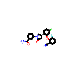 N#Cc1cccc(F)c1Oc1cc(Cl)ccc1[C@H]1CC(=O)N(c2cccc(C(N)=O)c2)C1